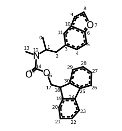 CC(Cc1ccc2occc2c1)N(C)C(=O)OCC1c2ccccc2-c2ccccc21